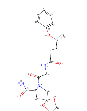 CC(CCC(=O)NCC(=O)N1CC2(CC1C(N)=O)OCCO2)Oc1ccccc1